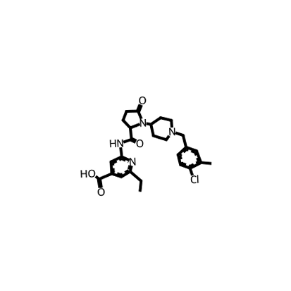 CCc1cc(C(=O)O)cc(NC(=O)C2CCC(=O)N2C2CCN(Cc3ccc(Cl)c(C)c3)CC2)n1